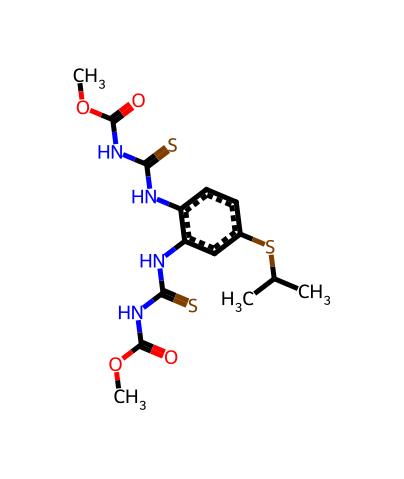 COC(=O)NC(=S)Nc1ccc(SC(C)C)cc1NC(=S)NC(=O)OC